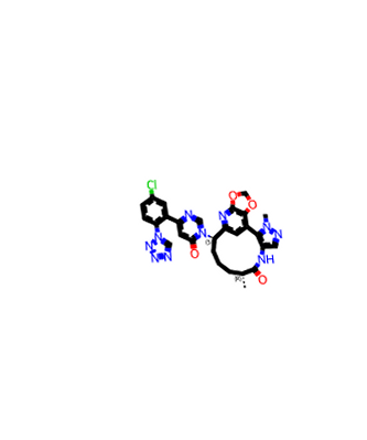 C[C@@H]1CCC[C@H](n2cnc(-c3cc(Cl)ccc3-n3cnnn3)cc2=O)c2cc(c3c(n2)OCO3)-c2c(cnn2C)NC1=O